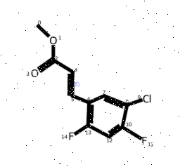 COC(=O)/C=C/c1cc(Cl)c(F)cc1F